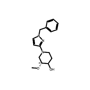 CO[C@@H]1CN(c2ccn(Cc3ccccc3)n2)CCC1O